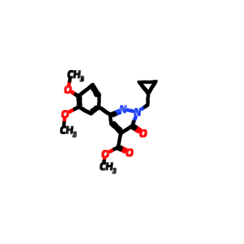 COC(=O)c1cc(-c2ccc(OC)c(OC)c2)nn(CC2CC2)c1=O